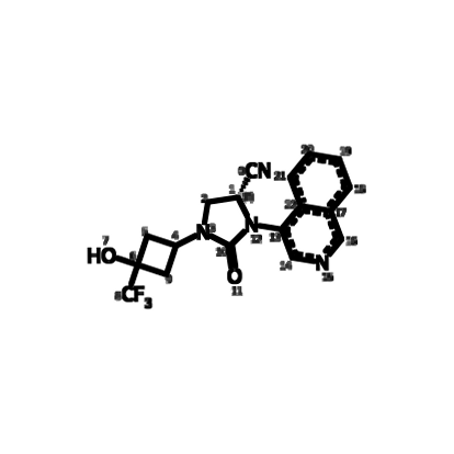 N#C[C@H]1CN(C2CC(O)(C(F)(F)F)C2)C(=O)N1c1cncc2ccccc12